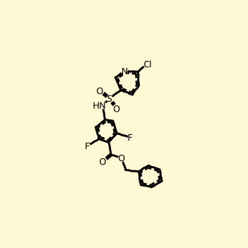 O=C(OCc1ccccc1)c1c(F)cc(NS(=O)(=O)c2ccc(Cl)nc2)cc1F